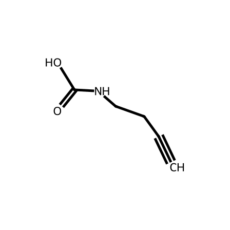 C#CCCNC(=O)O